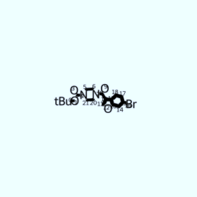 CC(C)(C)OC(=O)N1CCN(C(=O)c2coc3cc(Br)ccc23)CC1